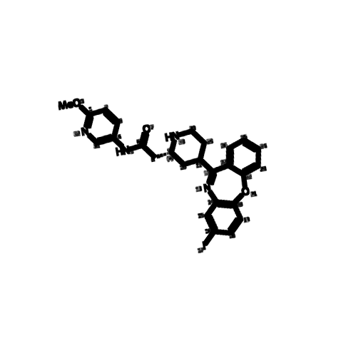 COc1ccc(NC(=O)C[C@H]2CC(C3=Nc4cc(I)ccc4Oc4ccccc43)CCN2)cn1